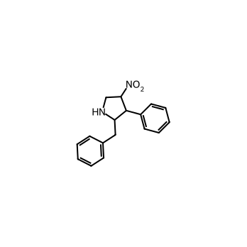 O=[N+]([O-])C1CNC(Cc2ccccc2)C1c1ccccc1